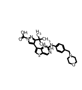 CC(C)(C)c1nn(C(=O)O)cc1-c1csc2cnc(Nc3ccc(CN4CCOCC4)cc3)nc12